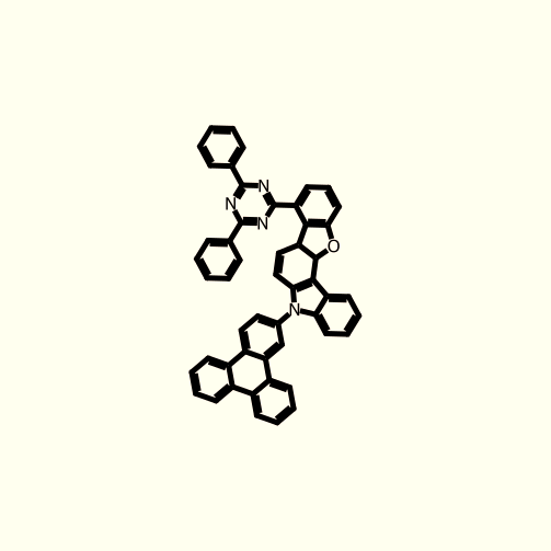 C1=CC2c3c(cccc3-c3nc(-c4ccccc4)nc(-c4ccccc4)n3)OC2c2c1n(-c1ccc3c4ccccc4c4ccccc4c3c1)c1ccccc21